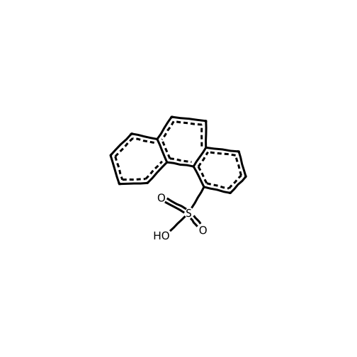 O=S(=O)(O)c1cccc2ccc3ccccc3c12